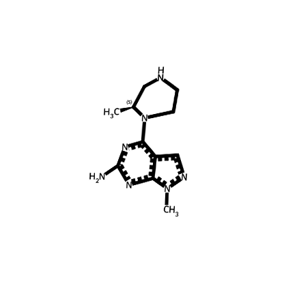 C[C@H]1CNCCN1c1nc(N)nc2c1cnn2C